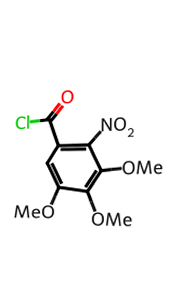 COc1cc(C(=O)Cl)c([N+](=O)[O-])c(OC)c1OC